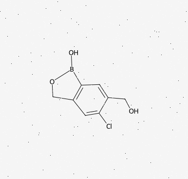 OCc1cc2c(cc1Cl)COB2O